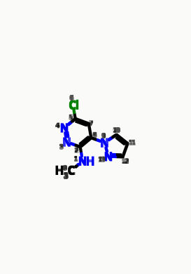 CNc1nnc(Cl)cc1-n1cccn1